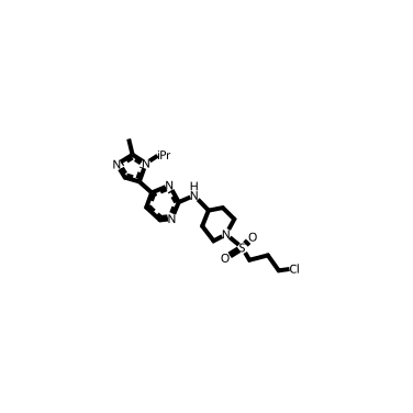 Cc1ncc(-c2ccnc(NC3CCN(S(=O)(=O)CCCCl)CC3)n2)n1C(C)C